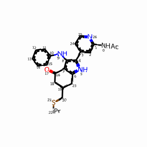 CC(=O)Nc1cc(-c2[nH]c3c(c2Nc2ccccc2)C(=O)CC(CSC(C)C)C3)ccn1